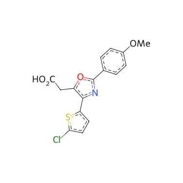 COc1ccc(-c2nc(-c3ccc(Cl)s3)c(CC(=O)O)o2)cc1